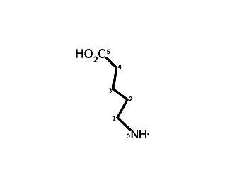 [NH]CCCCC(=O)O